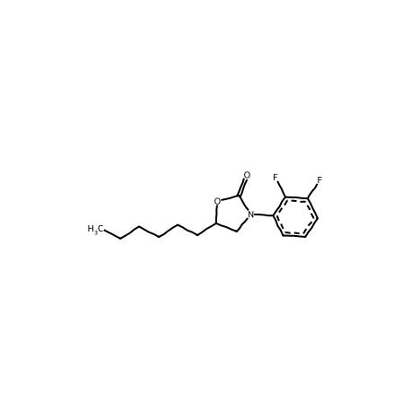 CCCCCCC1CN(c2cccc(F)c2F)C(=O)O1